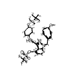 COc1ccc(Cn2nc(NC3CCC(O[Si](C)(C)C(C)(C)C)CC3)c3c(OS(=O)(=O)C(F)(F)F)ccnc32)cc1